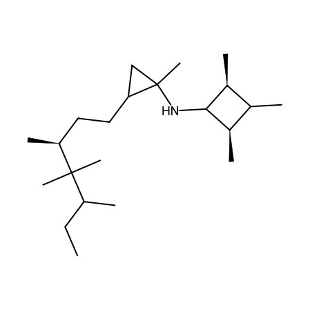 CCC(C)C(C)(C)[C@@H](C)CCC1CC1(C)NC1[C@H](C)C(C)[C@@H]1C